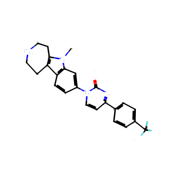 Cn1c2c(c3ccc(-n4ccc(-c5ccc(C(F)(F)F)cc5)nc4=O)cc31)CCNCC2